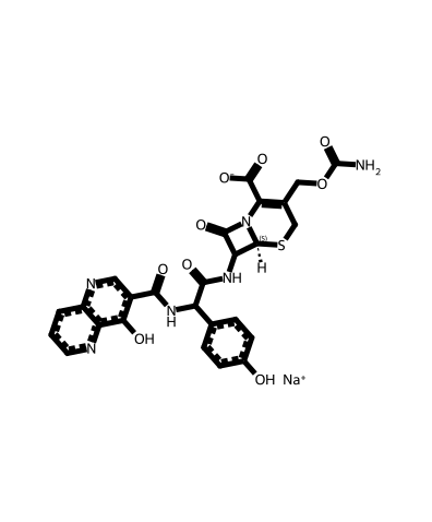 NC(=O)OCC1=C(C(=O)[O-])N2C(=O)C(NC(=O)C(NC(=O)c3cnc4cccnc4c3O)c3ccc(O)cc3)[C@@H]2SC1.[Na+]